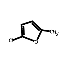 [CH2]c1ccc(Cl)o1